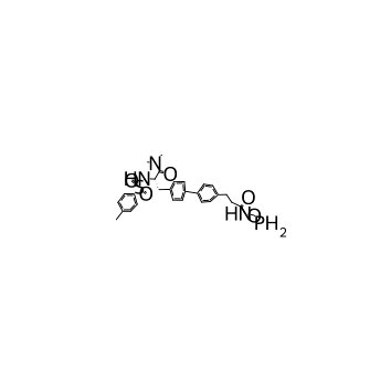 Cc1ccc(S(=O)(=O)N[C@@H](Cc2ccc(-c3ccc(CCC(=O)NOP)cc3)cc2)C(=O)N(C)C)cc1